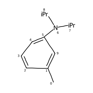 Cc1cccc(N(C(C)C)C(C)C)c1